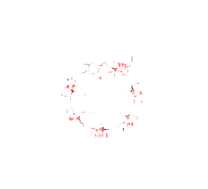 OCCO.OC[C@H]1O[C@@H]2O[C@H]3[C@H](O)[C@@H](O)[C@@H](O[C@H]4[C@H](O)[C@@H](O)[C@@H](O[C@H]5[C@H](O)[C@@H](O)[C@@H](O[C@H]6[C@H](O)[C@@H](O)[C@@H](O[C@H]7[C@H](O)[C@@H](O)[C@@H](O[C@H]8[C@H](O)[C@@H](O)[C@@H](O[C@H]1[C@H](O)[C@H]2O)O[C@@H]8CO)O[C@@H]7CO)O[C@@H]6CO)O[C@@H]5CO)O[C@@H]4CO)O[C@@H]3CO